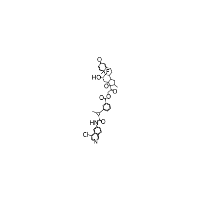 CC1C(C(=O)Nc2ccc3cncc(Cl)c3c2)C1c1cccc(C(=O)OCC(=O)C23OC24CC(O)C2(F)C(CCC5=CC(=O)C=CC52C)C4CC3C)c1